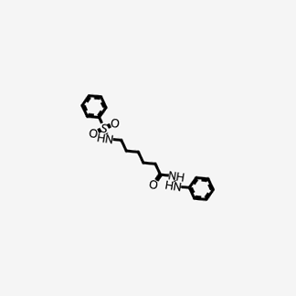 O=C(CCCCCNS(=O)(=O)c1ccccc1)NNc1ccccc1